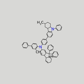 Cc1cc(-c2ccccc2)ccc1N(c1ccc(-c2ccc3c(c2)C2CC(C)CCC2N3c2ccccc2)cc1)C1C=C2C(CC1)C1C=CCC[C@@H]1C2(c1ccccc1)c1ccccc1